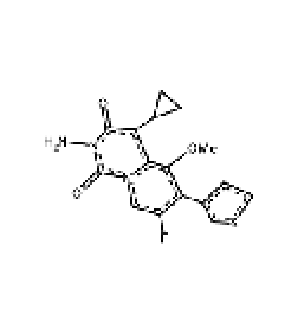 COc1c(-c2ccsc2)c(F)cn2c(=O)n(N)c(=O)c(C3CC3)c12